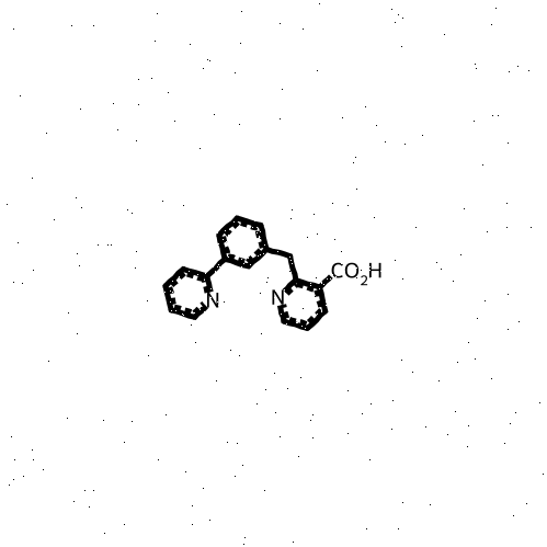 O=C(O)c1cccnc1Cc1cccc(-c2ccccn2)c1